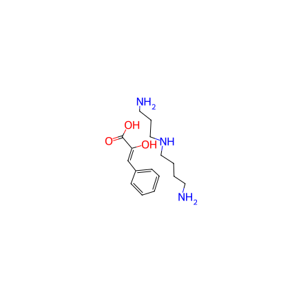 NCCCCNCCCN.O=C(O)C(O)=Cc1ccccc1